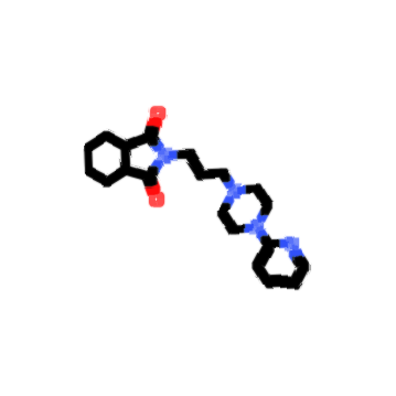 O=C1C2CCCCC2C(=O)N1CCCN1CCN(c2ccccn2)CC1